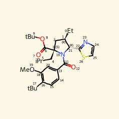 CC[C@@H]1C[C@@](CC(C)C)(C(=O)OC(C)(C)C)N(C(=O)c2ccc(C(C)(C)C)c(OC)c2)[C@H]1c1nccs1